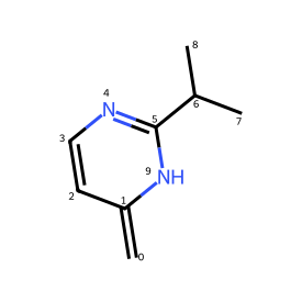 C=C1C=CN=C(C(C)C)N1